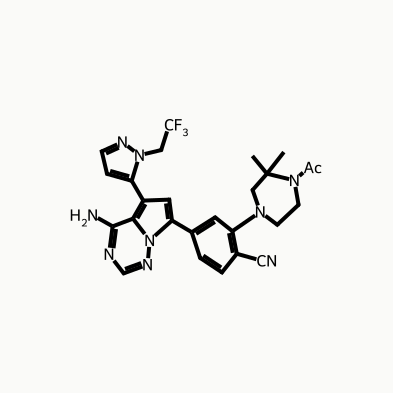 CC(=O)N1CCN(c2cc(-c3cc(-c4ccnn4CC(F)(F)F)c4c(N)ncnn34)ccc2C#N)CC1(C)C